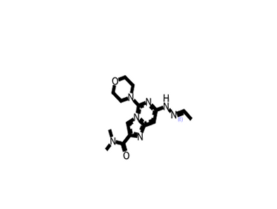 C/C=N/Nc1cc2nc(C(=O)N(C)C)cn2c(N2CCOCC2)n1